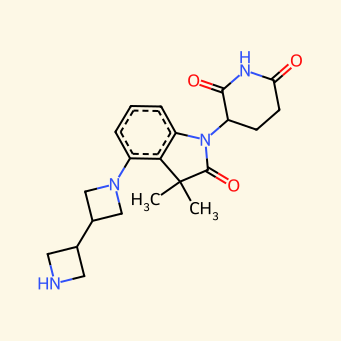 CC1(C)C(=O)N(C2CCC(=O)NC2=O)c2cccc(N3CC(C4CNC4)C3)c21